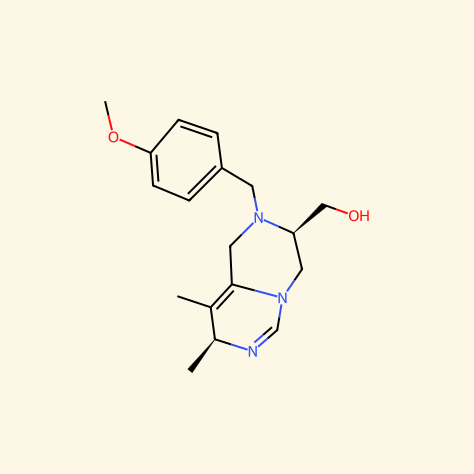 COc1ccc(CN2CC3=C(C)[C@H](C)N=CN3C[C@@H]2CO)cc1